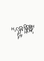 Cc1ccc(C(=O)NC(C)(C)C(=O)O)nc1OCC(F)(F)F